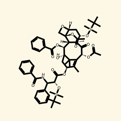 CC(=O)O[C@H]1C(=O)[C@]2(C)[C@@H](O[Si](C)(C)C(C)(C)C)C[C@H]3OC[C@@]3(OC(C)=O)[C@H]2[C@H](OC(=O)c2ccccc2)[C@]2(O)C[C@H](OC(=O)[C@H](O[Si](C)(C)C(C)(C)C)C(NC(=O)c3ccccc3)c3ccccc3)C(C)=C1C2(C)C